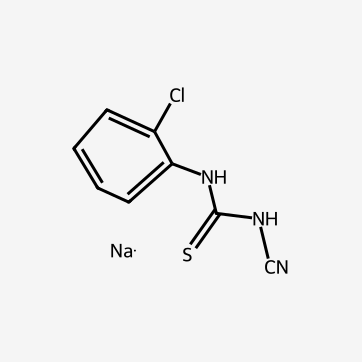 N#CNC(=S)Nc1ccccc1Cl.[Na]